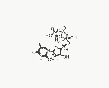 [2H]C([2H])(OP(=O)(O)OP(=O)(O)OP(=O)(O)O)[C@H]1O[C@@H](n2cc(C)c(=O)[nH]c2=O)[C@](C)(O)[C@@H]1O